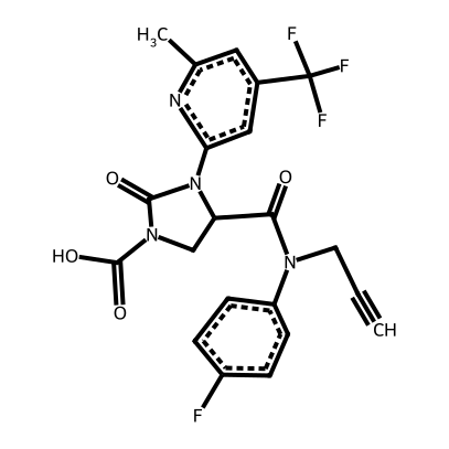 C#CCN(C(=O)C1CN(C(=O)O)C(=O)N1c1cc(C(F)(F)F)cc(C)n1)c1ccc(F)cc1